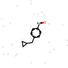 O=[As]c1[c]cc(CC2CC2)cc1